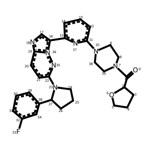 O=C(C1CCCO1)N1CCN(c2cccc(-c3cnc4ccc(N5CCCC5c5cccc(F)c5)nn34)n2)CC1